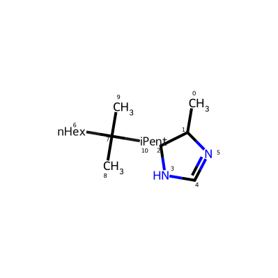 CC1CNC=N1.CCCCCCC(C)(C)C(C)CCC